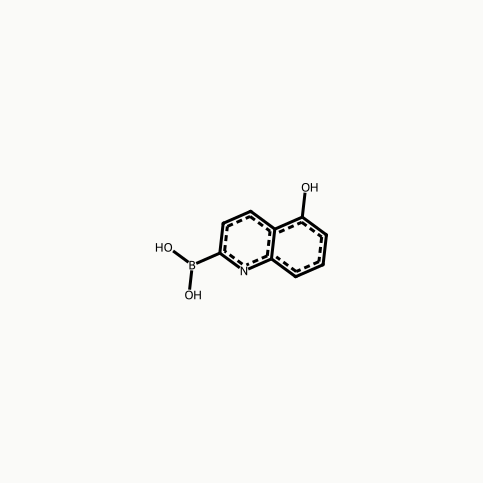 OB(O)c1ccc2c(O)cccc2n1